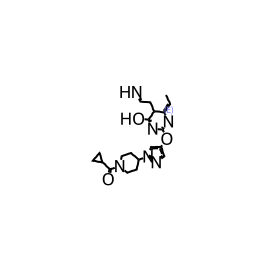 C/C=C1/N=C(Oc2cnn(C3CCN(C(=O)C4CC4)CC3)c2)N=C(O)C1CC=N